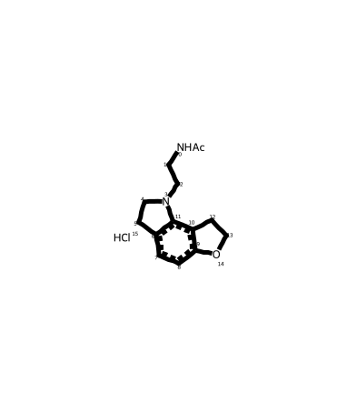 CC(=O)NCCN1CCc2ccc3c(c21)CCO3.Cl